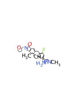 CN/C=C(\N)c1ccc(Cc2cc3c(c(C)c2C)CN(CC2CCCO2)C3=O)c(F)c1